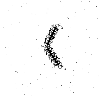 FC(F)(F)C(F)(F)C(F)(F)C(F)(F)C(F)(F)C(F)(F)C(F)(F)C(F)(F)NC(F)(F)C(F)(F)C(F)(F)C(F)(F)C(F)(F)C(F)(F)C(F)(F)C(F)(F)F